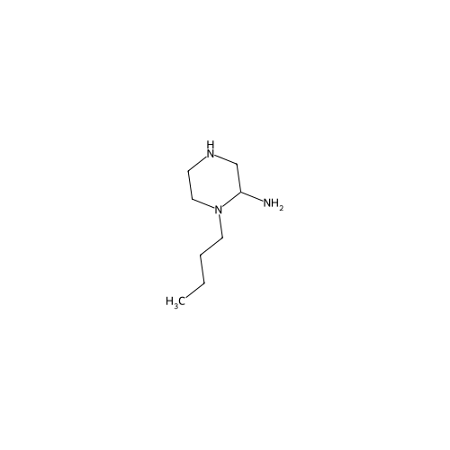 CCCCN1CCNCC1N